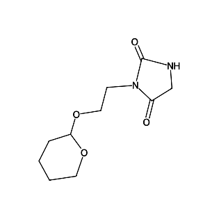 O=C1CNC(=O)N1CCOC1CCCCO1